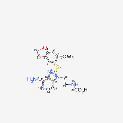 COc1cc2c(cc1Sc1nc3c(N)nccc3n1CCNC(=O)O)OCO2